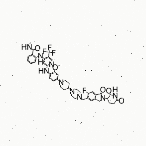 CNC(=O)c1ccccc1Nc1cc(Nc2ccc(N3CCC(N4CCN(Cc5cc6c(cc5F)C(=O)N(C5CCC(=O)NC5=O)C6)CC4)CC3)cc2OC)ncc1C(F)(F)F